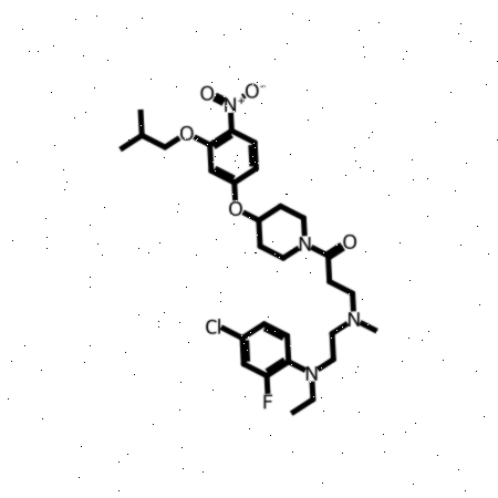 CCN(CCN(C)CCC(=O)N1CCC(Oc2ccc([N+](=O)[O-])c(OCC(C)C)c2)CC1)c1ccc(Cl)cc1F